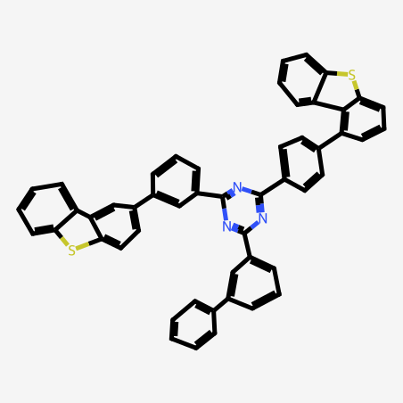 c1ccc(-c2cccc(-c3nc(-c4ccc(-c5cccc6sc7ccccc7c56)cc4)nc(-c4cccc(-c5ccc6sc7ccccc7c6c5)c4)n3)c2)cc1